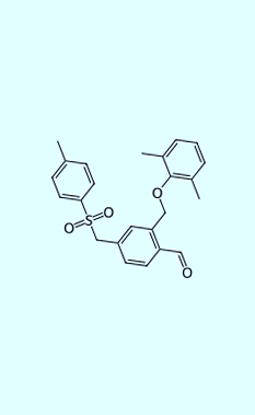 Cc1ccc(S(=O)(=O)Cc2ccc(C=O)c(COc3c(C)cccc3C)c2)cc1